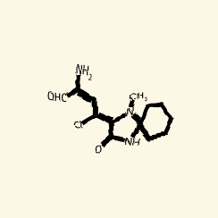 CN1/C(=C(Cl)\C=C(\N)C=O)C(=O)NC12CCCCC2